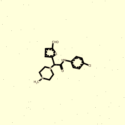 CN1CCN(C(C(=O)Nc2ccc(Cl)cc2)c2ccc(C=O)s2)CC1